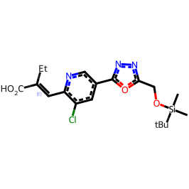 CC/C(=C\c1ncc(-c2nnc(CO[Si](C)(C)C(C)(C)C)o2)cc1Cl)C(=O)O